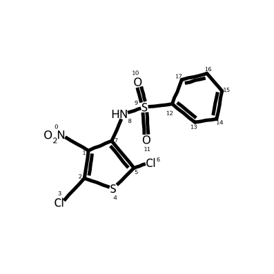 O=[N+]([O-])c1c(Cl)sc(Cl)c1NS(=O)(=O)c1ccccc1